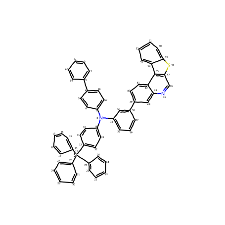 c1ccc(-c2ccc(N(c3ccc([Si](c4ccccc4)(c4ccccc4)c4ccccc4)cc3)c3cccc(-c4ccc5c(c4)ncc4sc6ccccc6c45)c3)cc2)cc1